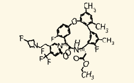 CCOC(=O)C[C@@H]1NC(=O)[C@@H](n2cc(CCN3CC(F)C3)c(C(F)(F)F)cc2=O)c2cc(ccc2F)Oc2cc(C)cc(C)c2-c2cc(C)c(F)c1c2